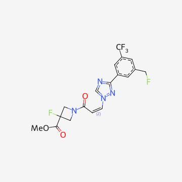 COC(=O)C1(F)CN(C(=O)/C=C\n2cnc(-c3cc(CF)cc(C(F)(F)F)c3)n2)C1